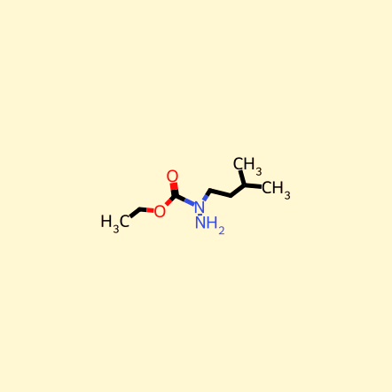 CCOC(=O)N(N)CCC(C)C